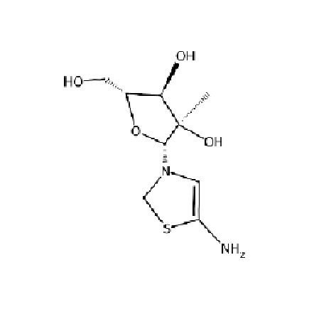 C[C@@]1(O)[C@H](O)[C@@H](CO)O[C@H]1N1C=C(N)SC1